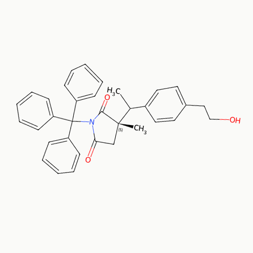 CC(c1ccc(CCO)cc1)[C@]1(C)CC(=O)N(C(c2ccccc2)(c2ccccc2)c2ccccc2)C1=O